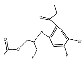 CCC(=O)c1cc(Br)c(F)cc1OC(CF)COC(C)=O